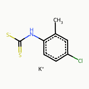 Cc1cc(Cl)ccc1NC(=S)[S-].[K+]